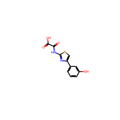 O=C(O)C(=O)Nc1nc(-c2cccc(O)c2)cs1